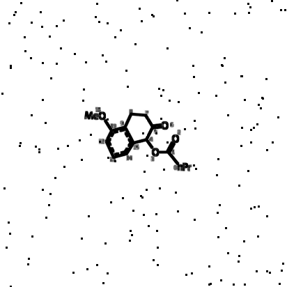 CCCC(=O)OC1C(=O)CCc2c(OC)cccc21